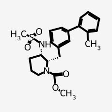 COC(=O)N1CCC[C@H](NS(C)(=O)=O)[C@@H]1Cc1cccc(-c2ccccc2C)c1